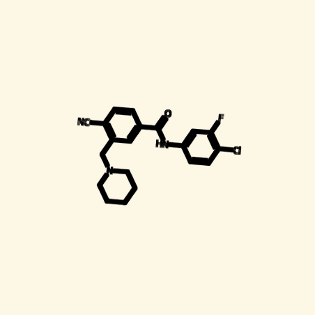 N#Cc1ccc(C(=O)Nc2ccc(Cl)c(F)c2)cc1CN1CCCCC1